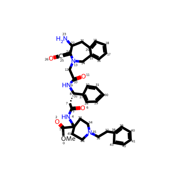 COC(=O)C1(NC(=O)C[C@H](NC(=O)CN2Cc3ccccc3CC(N)C2=C=O)c2ccccc2)CCN(CCc2ccccc2)CC1